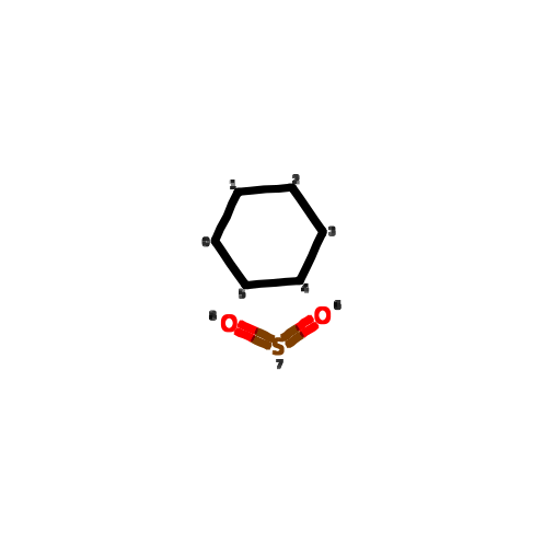 C1CCCCC1.O=S=O